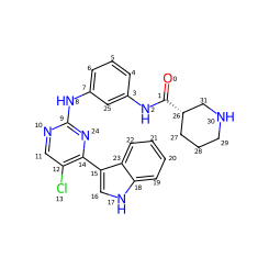 O=C(Nc1cccc(Nc2ncc(Cl)c(-c3c[nH]c4ccccc34)n2)c1)[C@H]1CCCNC1